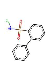 O=S(=O)(NCl)c1ccccc1-c1ccccc1